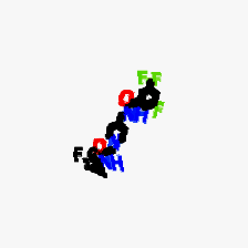 O=C(CN1CCC(CNC(=O)c2cc(F)cc(C(F)F)c2)CC1)NC1(C(F)(F)F)CC1